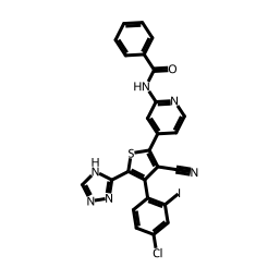 N#Cc1c(-c2ccnc(NC(=O)c3ccccc3)c2)sc(-c2nnc[nH]2)c1-c1ccc(Cl)cc1I